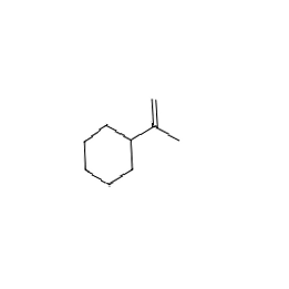 C=C(C)C1C[CH]CCC1